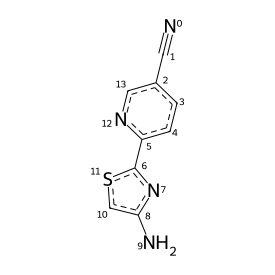 N#Cc1ccc(-c2nc(N)cs2)nc1